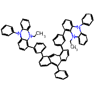 CCN1c2ccccc2N(c2ccccc2)c2cccc(-c3cccc(-c4cccc5c(-c6ccccc6)c6cccc(-c7cccc(-c8cccc9c8N(CC)c8ccccc8N9c8ccccc8)c7)c6cc45)c3)c21